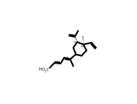 C=C[C@@]1(C)CCC(/C(C)=C/C=C/C(=O)O)C[C@@H]1C(=C)C